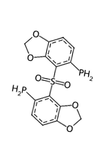 O=S(=O)(c1c(P)ccc2c1OCO2)c1c(P)ccc2c1OCO2